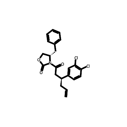 C=CC[C@@H](CC(=O)N1C(=O)OC[C@@H]1Cc1ccccc1)c1ccc(Cl)c(Cl)c1